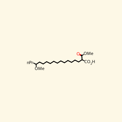 CCCC(CCCCCCCCCCCCC(C(=O)O)C(=O)OC)OC